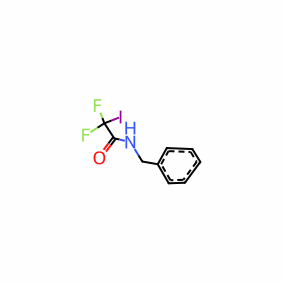 O=C(NCc1ccccc1)C(F)(F)I